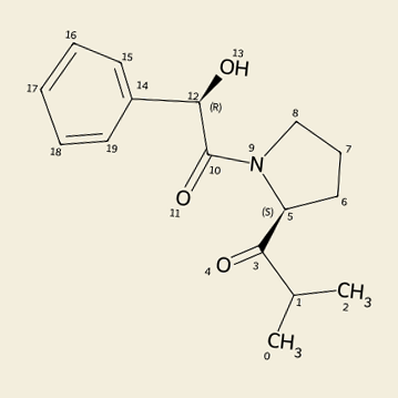 CC(C)C(=O)[C@@H]1CCCN1C(=O)[C@H](O)c1ccccc1